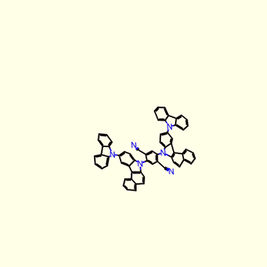 N#Cc1cc(-n2c3ccc(-n4c5ccccc5c5ccccc54)cc3c3c4ccccc4ccc32)c(C#N)cc1-n1c2ccc(-n3c4ccccc4c4ccccc43)cc2c2c3ccccc3ccc21